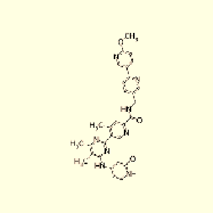 COc1ccc(-c2ccc(CNC(=O)c3cc(C)c(-c4nc(C)c(C)c(Nc5cc[nH]c(=O)c5)n4)cn3)cn2)cn1